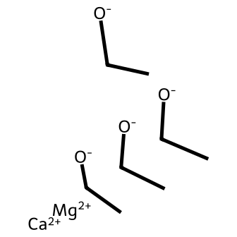 CC[O-].CC[O-].CC[O-].CC[O-].[Ca+2].[Mg+2]